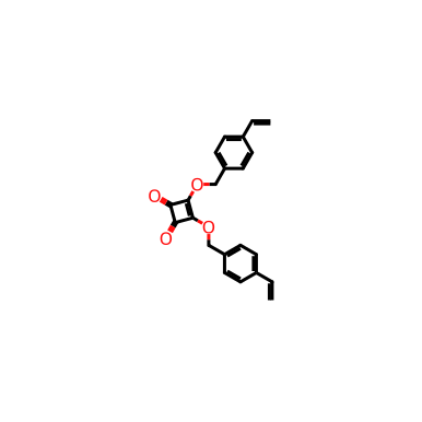 C=Cc1ccc(COc2c(OCc3ccc(C=C)cc3)c(=O)c2=O)cc1